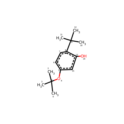 CC(C)(C)Oc1ccc(C(C)(C)C)c(O)c1